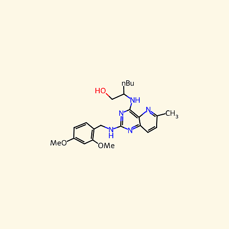 CCCCC(CO)Nc1nc(NCc2ccc(OC)cc2OC)nc2ccc(C)nc12